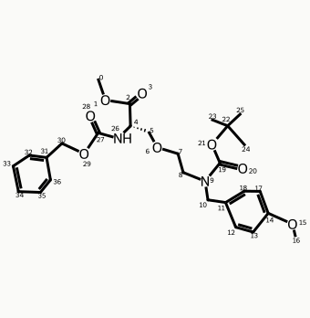 COC(=O)[C@H](COCCN(Cc1ccc(OC)cc1)C(=O)OC(C)(C)C)NC(=O)OCc1ccccc1